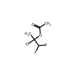 CC(=O)OC(C)(Cl)C(F)F